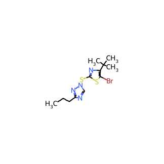 CCCc1ncn(Sc2nc(C(C)(C)C)c(Br)s2)n1